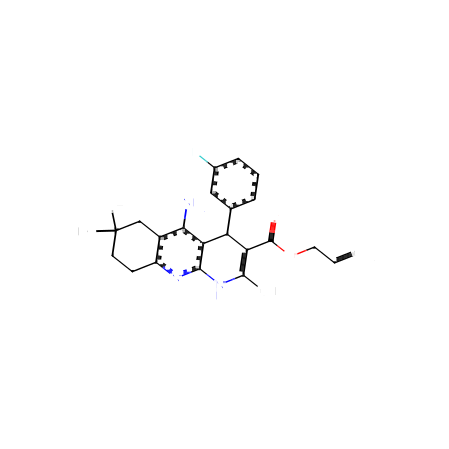 C=CCOC(=O)C1=C(C)Nc2nc3c(c(N)c2C1c1cccc(F)c1)CC(C)(C)CC3